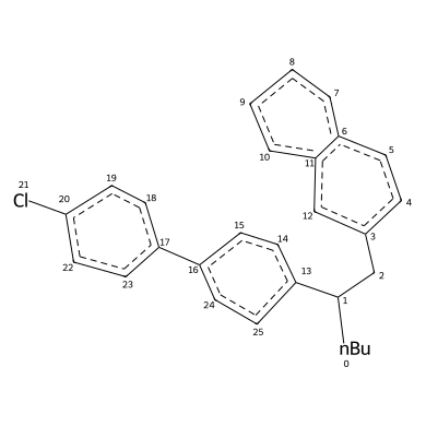 CCCCC(Cc1ccc2ccccc2c1)c1ccc(-c2ccc(Cl)cc2)cc1